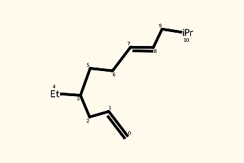 C=CCC(CC)CCC=CCC(C)C